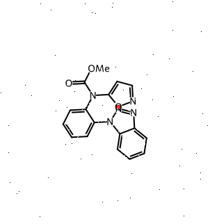 COC(=O)N(c1ccno1)c1ccccc1-n1nnc2ccccc21